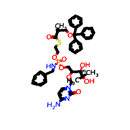 C=C(COC(c1ccccc1)(c1ccccc1)c1ccccc1)C(=O)SCCOP(=O)(NCc1ccccc1)OCC(OCn1ccc(N)nc1=O)[C@@H](O)C(C)(C)O